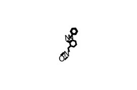 C1=CN(CCC2CCCc3c2cnn3-c2ccccc2)CCO1